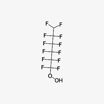 OOC(F)(F)C(F)(F)C(F)(F)C(F)(F)C(F)(F)C(F)F